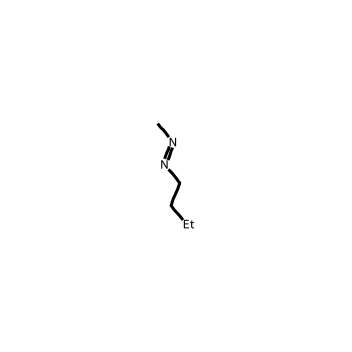 CCCC/N=N/C